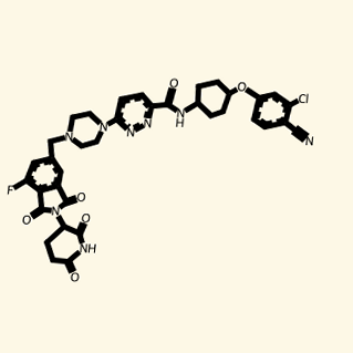 N#Cc1ccc(OC2CCC(NC(=O)c3ccc(N4CCN(Cc5cc(F)c6c(c5)C(=O)N(C5CCC(=O)NC5=O)C6=O)CC4)nn3)CC2)cc1Cl